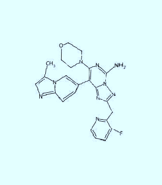 Cc1cnc2ccc(-c3c(N4CCOCC4)nc(N)n4nc(Cc5ncccc5F)nc34)cn12